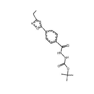 CCc1noc(-c2ccc(C(=O)NNC(=O)OC(C)(C)C)cc2)n1